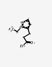 CCC(=O)CCc1ccnn1CC(F)(F)F